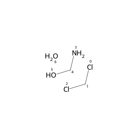 ClCCl.NCO.O